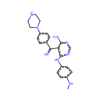 CNc1ccc(Nc2ncnc(N)c2C(=N)c2ccc(N3CCNCC3)cc2)cc1